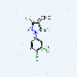 O=Cc1c(Cl)nn(-c2ccc(F)c(Cl)c2)c1Cl